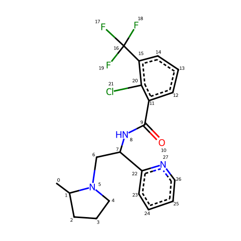 CC1CCCN1CC(NC(=O)c1cccc(C(F)(F)F)c1Cl)c1ccccn1